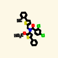 N#Cc1ccccc1-c1ccc(CN(C(=O)c2ccc(Cl)cc2Cl)c2cc(-c3ccccc3)sc2OC(=O)O)s1